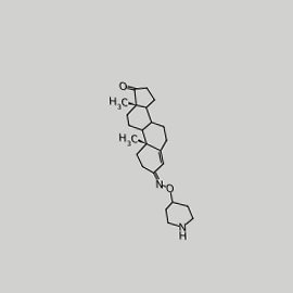 C[C@]12CC/C(=N/OC3CCNCC3)C=C1CCC1C2CC[C@]2(C)C(=O)CCC12